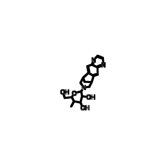 CC1C(CO)OC(N2CC3CC(C2)c2cc4nccnc4cc23)C(O)C1O